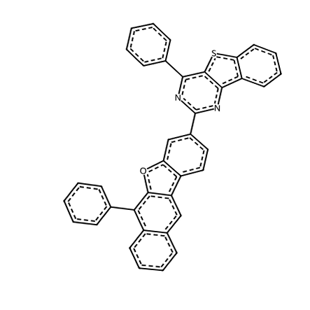 c1ccc(-c2c3ccccc3cc3c2oc2cc(-c4nc(-c5ccccc5)c5sc6ccccc6c5n4)ccc23)cc1